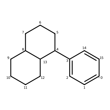 [c]1ccc(C2CCCC3CCCCC32)cc1